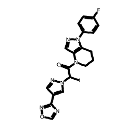 O=C(C(I)n1cc(-c2ncon2)cn1)N1CCCc2c1cnn2-c1ccc(F)cc1